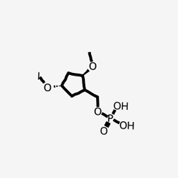 CO[C@@H]1C[C@@H](OI)CC1COP(=O)(O)O